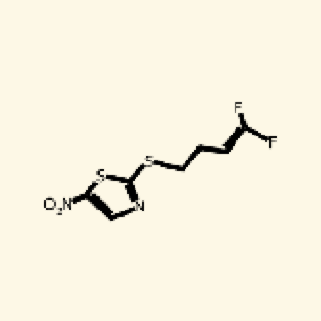 O=[N+]([O-])c1cnc(SCCC=C(F)F)s1